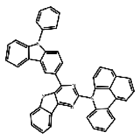 c1ccc(-n2c3ccccc3c3cc(-c4nc(N5c6ccccc6-c6cccc7cccc5c67)nc5c4sc4ccccc45)ccc32)cc1